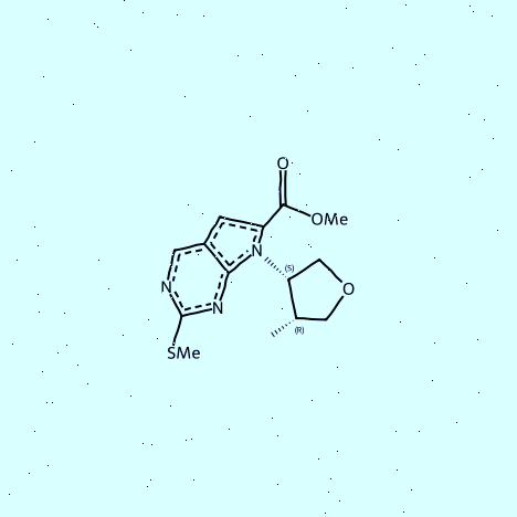 COC(=O)c1cc2cnc(SC)nc2n1[C@@H]1COC[C@@H]1C